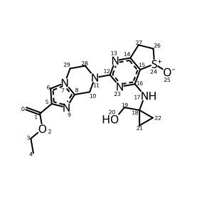 C=C(OCC)c1cn2c(n1)CN(c1nc3c(c(NC4(CO)CC4)n1)[S+]([O-])CC3)CC2